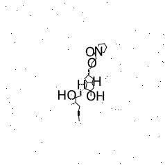 CC#CC[C@@H](C)[C@H](O)/C=C/[C@@H]1[C@H]2C/C(=C/COCC(=O)N3CCCC3)C[C@H]2C[C@H]1O